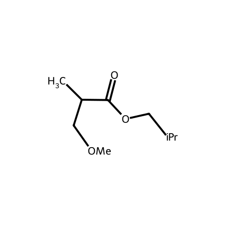 COCC(C)C(=O)OCC(C)C